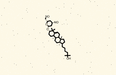 CC(C)(O)CCCCC1CC[C@@]2(C)C3CC=C4C(CC[C@H](O[C@H]5C[C@@H](N=O)C[C@@H](CN=O)O5)C4(C)C)[C@]3(C)CC[C@]12C